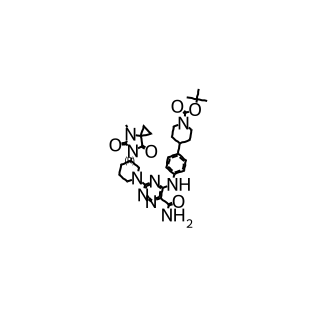 CN1C(=O)N([C@@H]2CCCN(c3nnc(C(N)=O)c(Nc4ccc(C5CCN(C(=O)OC(C)(C)C)CC5)cc4)n3)C2)C(=O)C12CC2